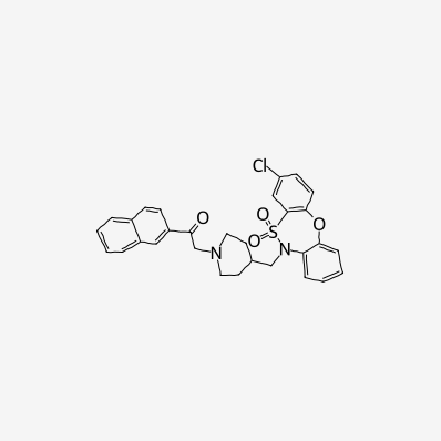 O=C(CN1CCC(CN2c3ccccc3Oc3ccc(Cl)cc3S2(=O)=O)CC1)c1ccc2ccccc2c1